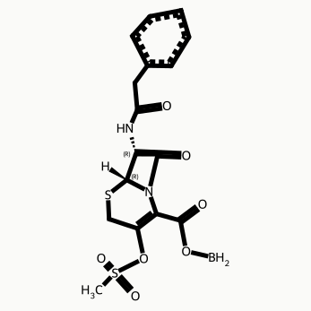 BOC(=O)C1=C(OS(C)(=O)=O)CS[C@@H]2[C@H](NC(=O)Cc3ccccc3)C(=O)N12